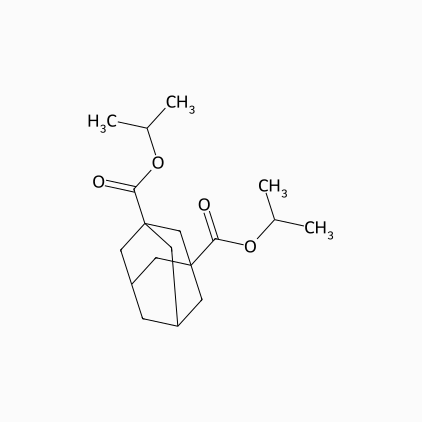 CC(C)OC(=O)C12CC3CC(C1)CC(C(=O)OC(C)C)(C3)C2